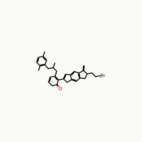 C=C1c2cc3c(cc2CC1CCC(C)C)CC(C1=C(CC(C)Cc2cc(C)ccc2C)C=CCC1=O)=C3